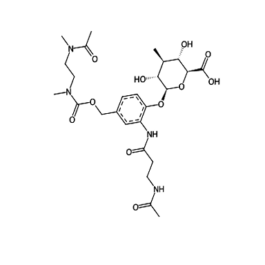 CC(=O)NCCC(=O)Nc1cc(COC(=O)N(C)CCN(C)C(C)=O)ccc1O[C@@H]1O[C@H](C(=O)O)[C@@H](O)[C@H](C)[C@H]1O